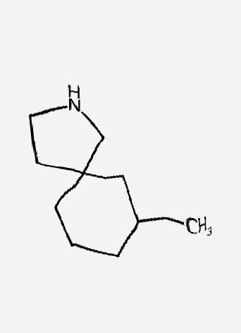 CC1CCCC2(CCNC2)C1